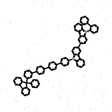 c1ccc(-c2ccccc2-n2c3ccccc3c3cc(-c4ccc5c(c4)c4ccccc4n5-c4ccc(-c5ccc(-c6ccc(-c7cccc(C8(c9ccccc9)c9ccccc9-c9ccccc98)c7)cc6)cc5)cc4)ccc32)cc1